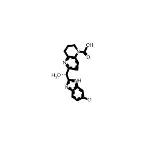 C[C@H](c1ccc2c(n1)CCCN2C(=O)O)c1nc2ccc(Cl)cc2[nH]1